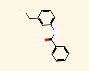 CNCc1cccc(NC(=O)c2ccccc2)c1